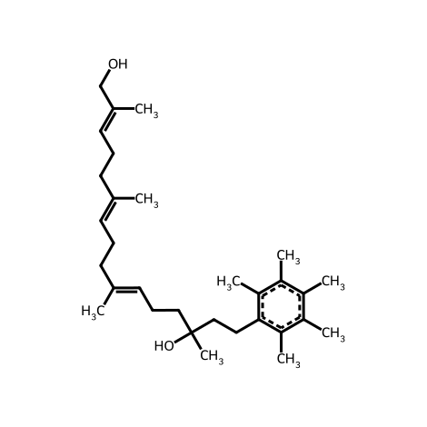 C/C(=C\CC/C(C)=C/CC/C(C)=C/CCC(C)(O)CCc1c(C)c(C)c(C)c(C)c1C)CO